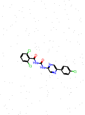 O=C(NC(=O)c1c(Cl)cccc1Cl)Nc1cnc(-c2ccc(Cl)cc2)cn1